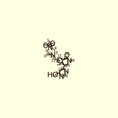 C[C@@H]1CN(S(C)(=O)=O)CCN1Cc1cc2c(=O)n(C)cc(-c3cc(O)ncn3)c2s1